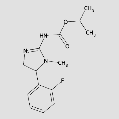 CC(C)OC(=O)NC1=NCC(c2ccccc2F)N1C